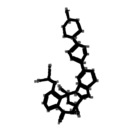 O=C1N[C@@H]2C[C@H](c3c(OC(F)F)cccc31)n1c2nc2ccc(-c3cnc(N4CC[S+]([O-])CC4)nc3)cc21